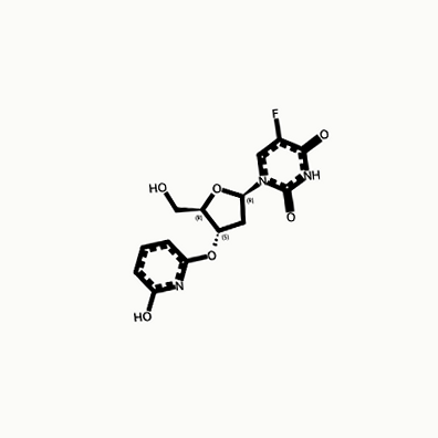 O=c1[nH]c(=O)n([C@H]2C[C@H](Oc3cccc(O)n3)[C@@H](CO)O2)cc1F